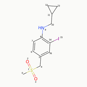 CS(=O)(=O)Cc1ccc(NCC2CC2)c(I)c1